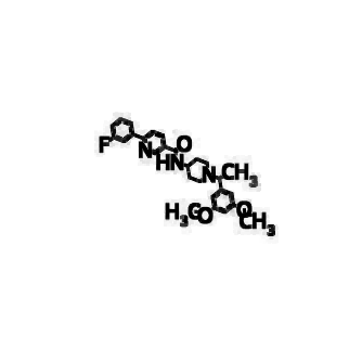 COc1cc(OC)cc(C(C)N2CCC(NC(=O)c3ccc(-c4cccc(F)c4)nc3)CC2)c1